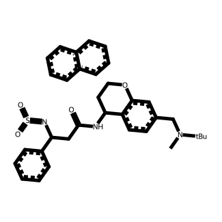 CN(Cc1ccc2c(c1)OCCC2NC(=O)CC(N=S(=O)=O)c1ccccc1)C(C)(C)C.c1ccc2ccccc2c1